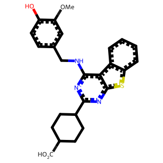 COc1cc(CNc2nc(C3CCC(C(=O)O)CC3)nc3sc4ccccc4c23)ccc1O